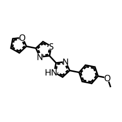 COc1ccc(-c2c[nH]c(-c3nc(-c4ccco4)cs3)n2)cc1